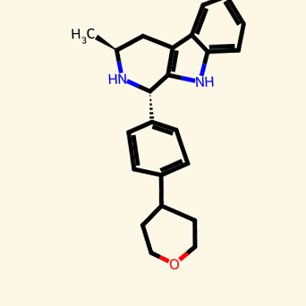 C[C@H]1Cc2c([nH]c3ccccc23)[C@H](c2ccc(C3CCOCC3)cc2)N1